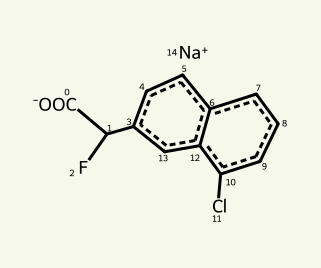 O=C([O-])C(F)c1ccc2cccc(Cl)c2c1.[Na+]